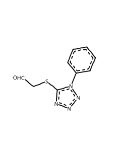 O=[C]CSc1nnnn1-c1ccccc1